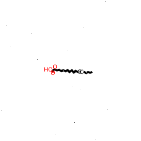 CCCCCCCCC=CCC=CCC=CCCC(=O)C(=O)O